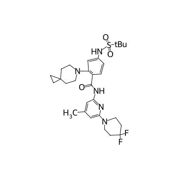 Cc1cc(NC(=O)c2ccc(NS(=O)(=O)C(C)(C)C)cc2N2CCC3(CC2)CC3)nc(N2CCC(F)(F)CC2)c1